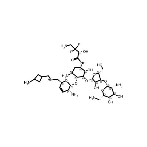 NC[C@@H]1O[C@H](O[C@H]2[C@@H](O)[C@H](O[C@@H]3[C@@H](O)[C@H](NC(=O)[C@@H](O)C(F)(F)CN)C[C@H](N)[C@H]3O[C@H]3O[C@H](CNCC4CC(N)C4)C=C[C@H]3N)O[C@@H]2CO)[C@H](N)[C@@H](O)[C@@H]1O